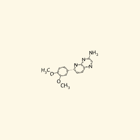 COc1ccc(-c2ccc3ncc(N)nc3n2)cc1OC